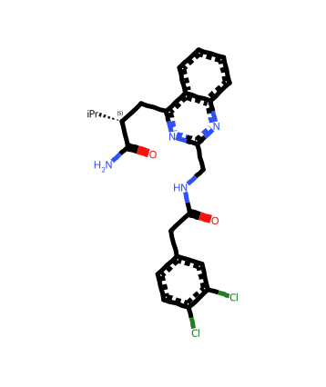 CC(C)[C@H](Cc1nc(CNC(=O)Cc2ccc(Cl)c(Cl)c2)nc2ccccc12)C(N)=O